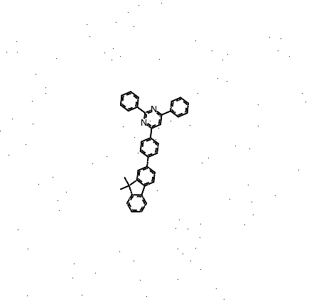 CC1(C)c2ccccc2-c2ccc(-c3ccc(-c4cc(-c5ccccc5)nc(-c5ccccc5)n4)cc3)cc21